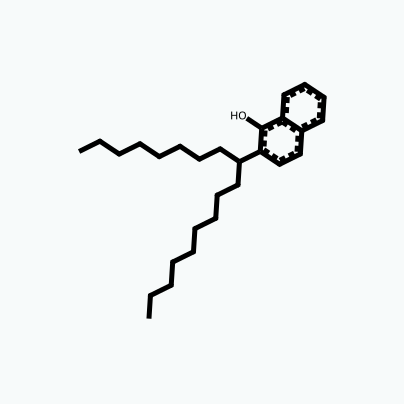 CCCCCCCCCC(CCCCCCCC)c1ccc2ccccc2c1O